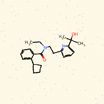 CCN(CCc1cccc(C(C)(C)O)n1)C(=O)c1ccccc1C1CCC1